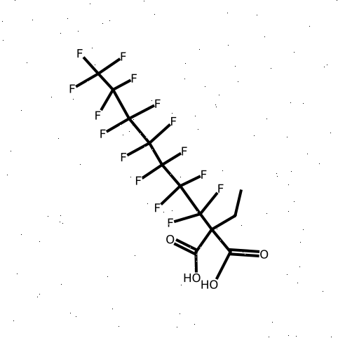 CCC(C(=O)O)(C(=O)O)C(F)(F)C(F)(F)C(F)(F)C(F)(F)C(F)(F)C(F)(F)C(F)(F)F